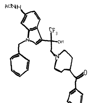 CC(=O)Nc1ccc2c(C(O)(CN3CCC(C(=O)c4ccccc4)CC3)C(F)(F)F)cn(Cc3ccccc3)c2c1